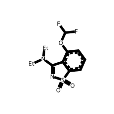 CCN(CC)C1=NS(=O)(=O)c2cccc(OC(F)F)c21